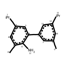 Cc1cc(-c2cc(C(C)C)cc(C)c2N)cc(C(C)C)c1